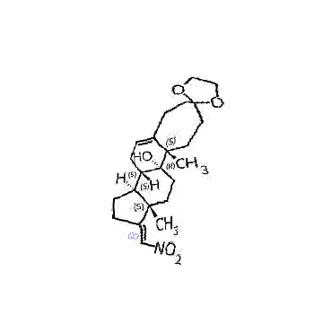 C[C@]12CCC3(CC1=CC[C@H]1[C@@H]4CC/C(=C/[N+](=O)[O-])[C@@]4(C)CC[C@@]12O)OCCO3